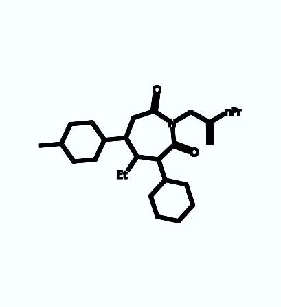 C=C(CCC)CN1C(=O)CC(C2CCC(C)CC2)C(CC)C(C2CCCCC2)C1=O